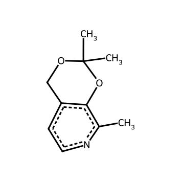 Cc1nccc2c1OC(C)(C)OC2